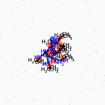 CC(C)[C@H](NC(=O)[C@H](CCC(=O)OC(C)(C)C)NC(=O)[C@@H](N)CC(=O)OC(C)(C)C)C(=O)N[C@@H](CC(=O)OC(C)(C)C)C(=O)NCC(=O)N[C@@H](CCCCNC(=O)OC(C)(C)C)C(=O)N[C@@H](CCCCNC(=O)OC(C)(C)C)C(=O)N[C@@H](CCCCNC(=O)OC(C)(C)C)C(=O)N[C@@H](CCCCNC(=O)OC(C)(C)C)C(N)=O